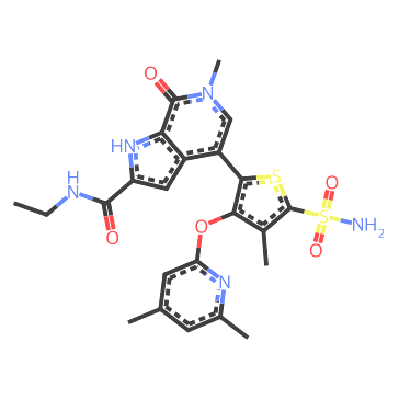 CCNC(=O)c1cc2c(-c3sc(S(N)(=O)=O)c(C)c3Oc3cc(C)cc(C)n3)cn(C)c(=O)c2[nH]1